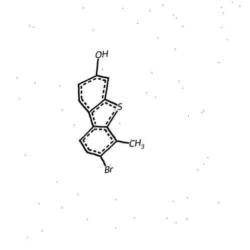 Cc1c(Br)ccc2c1sc1cc(O)ccc12